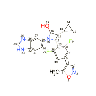 Cc1oncc1-c1cc(F)c([C@H]2[C@@H](C3CC3)C(O)N2c2ccc3[nH]cnc3c2)c(F)c1